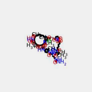 COc1cc2cc(c1Cl)N(C)C(=O)C[C@H](OC(=O)Nc1ccc(NC(=O)[C@H](CCCNC(N)=O)NC(=O)[C@@H](NC(=O)CCCCC(=O)ON3C(=O)CCC3=O)C(C)C)c(C)c1)[C@]1(C)O[C@H]1[C@H](C)[C@@H]1C[C@@](O)(NC(=O)O1)[C@H](OC)/C=C/C=C(\C)C2